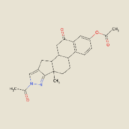 CC(=O)Oc1ccc2c(c1)C(=O)CC1C2CCC2(C)c3nn(C(C)=O)cc3CC12